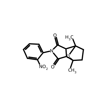 CC12CCC(C)(O1)C1C(=O)N(c3ccccc3[N+](=O)[O-])C(=O)C12